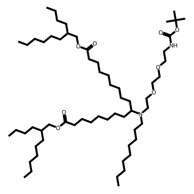 CCCCCCCCCN(CCOCCOCCNC(=O)OC(C)(C)C)C(CCCCCCCCC(=O)OCC(CCCC)CCCCCC)CCCCCCCC(=O)OCC(CCCC)CCCCCC